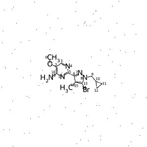 COc1cnc(-c2nn(CC3CC3)c(Br)c2C)nc1N